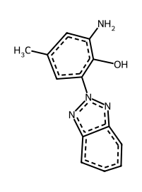 Cc1cc(N)c(O)c(-n2nc3ccccc3n2)c1